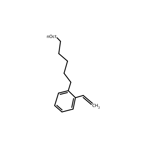 C=Cc1ccccc1CCCCCCCCCCCCC